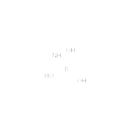 N.OB(O)O